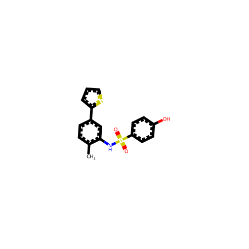 Cc1ccc(-c2cccs2)cc1NS(=O)(=O)c1ccc(O)cc1